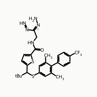 Cc1cc(SC(c2ccc(C(=O)NC/C(N=N)=N/N)s2)C(C)(C)C)cc(C)c1-c1ccc(C(F)(F)F)cc1